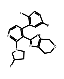 Fc1ccc(F)c(-c2ccnc(N3CCC(F)C3)c2-c2nc3c([nH]2)COCC3)c1